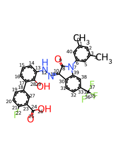 Cc1cc(C)cc(N2C(=O)/C(=N\Nc3cccc(-c4ccc(F)c(C(=O)O)c4)c3O)c3ccc(C(F)(F)F)cc32)c1